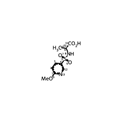 COc1ccc(S(=O)(=O)N[C@@H](C)C(=O)O)cn1